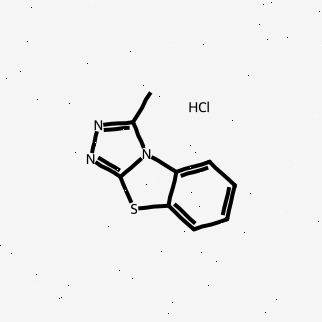 Cc1nnc2sc3ccccc3n12.Cl